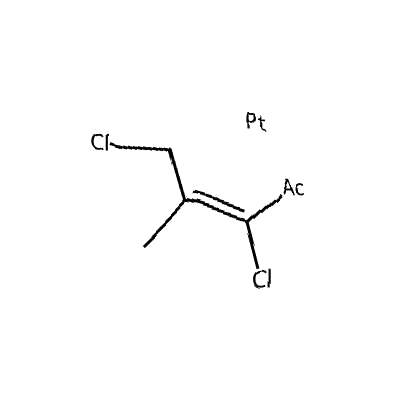 CC(=O)C(Cl)=C(C)CCl.[Pt]